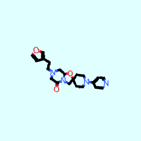 O=C1CN(CCc2ccoc2)CC2OC3(CCN(c4ccncc4)CC3)CN12